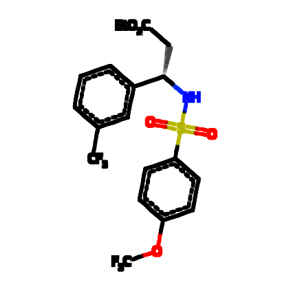 CCOC(=O)C[C@H](NS(=O)(=O)c1ccc(OC(F)(F)F)cc1)c1cccc(C(F)(F)F)c1